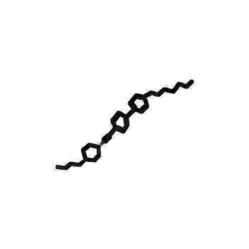 CCCCCCCc1ccc(-c2ccc(C#C[C@H]3CC[C@H](CCCC)CC3)cc2)cc1